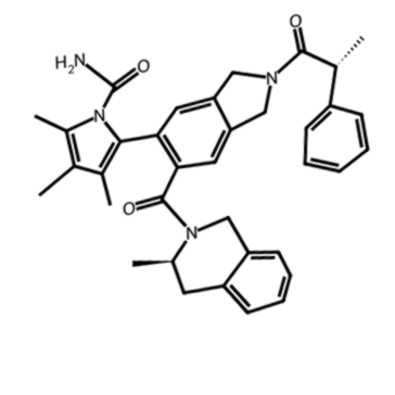 Cc1c(C)c(-c2cc3c(cc2C(=O)N2Cc4ccccc4C[C@H]2C)CN(C(=O)[C@H](C)c2ccccc2)C3)n(C(N)=O)c1C